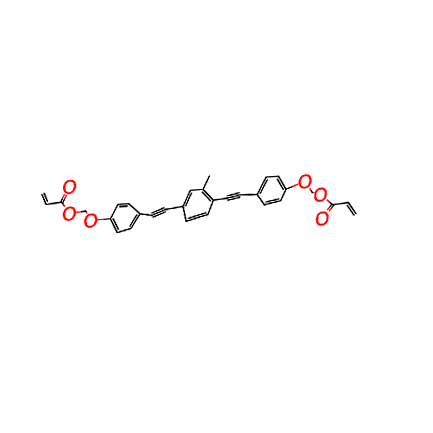 C=CC(=O)OCOc1ccc(C#Cc2ccc(C#Cc3ccc(OCOC(=O)C=C)cc3)c(C)c2)cc1